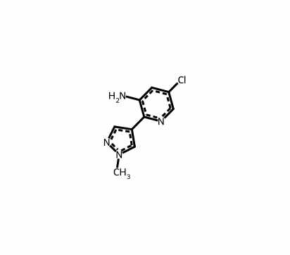 Cn1cc(-c2ncc(Cl)cc2N)cn1